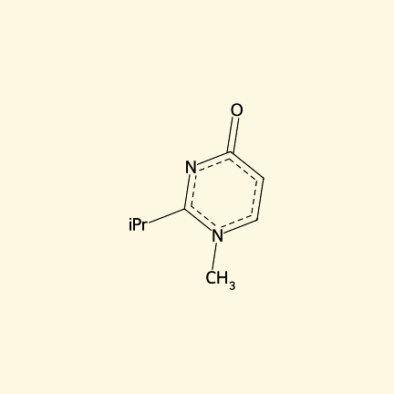 CC(C)c1nc(=O)ccn1C